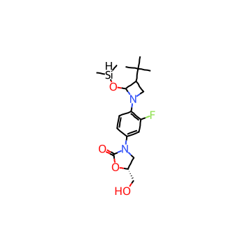 C[SiH](C)OC1C(C(C)(C)C)CN1c1ccc(N2C[C@H](CO)OC2=O)cc1F